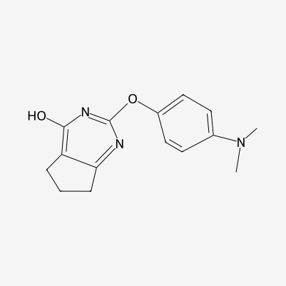 CN(C)c1ccc(Oc2nc(O)c3c(n2)CCC3)cc1